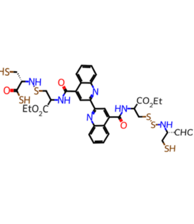 CCOC(=O)C(CSN[C@@H](CS)C(=O)S)NC(=O)c1cc(-c2cc(C(=O)NC(CSSN[C@H](C=O)CS)C(=O)OCC)c3ccccc3n2)nc2ccccc12